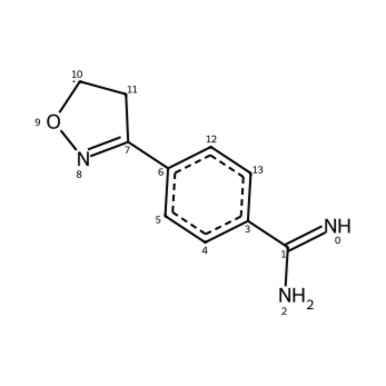 N=C(N)c1ccc(C2=NO[CH]C2)cc1